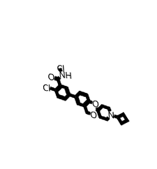 O=C(NCl)c1cc(-c2ccc3c(c2)COC2(CCN(C4CCC4)CC2)O3)ccc1Cl